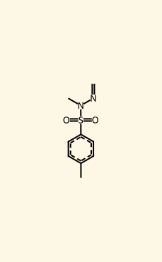 C=NN(C)S(=O)(=O)c1ccc(C)cc1